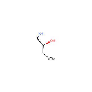 CSC[C@H](O)CN